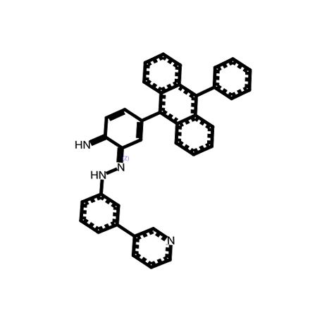 N=C1C=CC(c2c3ccccc3c(-c3ccccc3)c3ccccc23)=C/C1=N/Nc1cccc(-c2cccnc2)c1